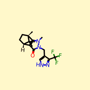 Cn1c2c(c(=O)n1Cc1c[nH]nc1C(F)(F)F)[C@@H]1CC[C@@]2(C)C1(C)C